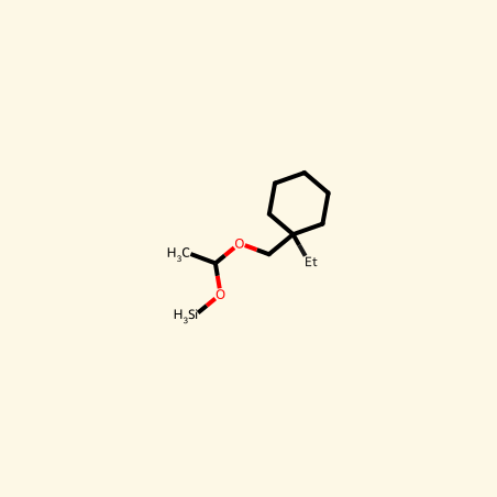 CCC1(COC(C)O[SiH3])CCCCC1